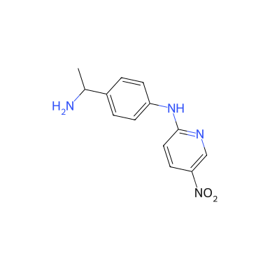 CC(N)c1ccc(Nc2ccc([N+](=O)[O-])cn2)cc1